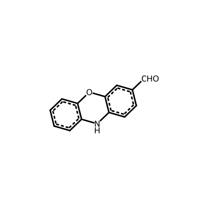 O=Cc1ccc2c(c1)Oc1ccccc1N2